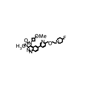 CO[C@H]1C[C@H](n2c(=O)n(C)c3nnc4ccc(-c5ccc(COCCN6CCC(F)CC6)nc5)cc4c32)C1